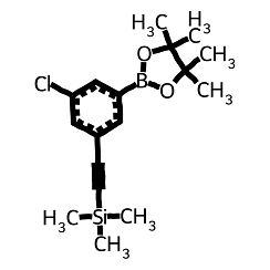 CC1(C)OB(c2cc(Cl)cc(C#C[Si](C)(C)C)c2)OC1(C)C